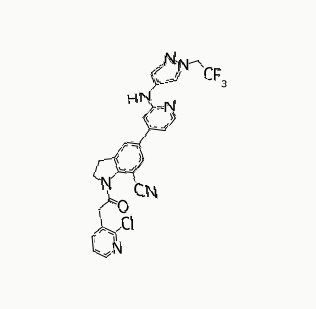 N#Cc1cc(-c2ccnc(Nc3cnn(CC(F)(F)F)c3)c2)cc2c1N(C(=O)Cc1cccnc1Cl)CC2